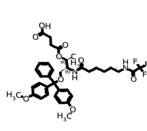 COc1ccc(C(OC[C@@H](NC(=O)CCCCCNC(=O)C(F)(F)F)[C@@H](C)OC(=O)CCC(=O)O)(c2ccccc2)c2ccc(OC)cc2)cc1